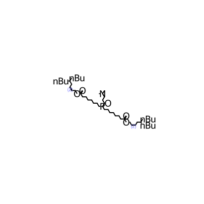 CCCCC(C/C=C\COC(=O)CCCCCCCP(CCCCCCCC(=O)OC/C=C\CC(CCCC)CCCC)C(=O)CCN(C)C)CCCC